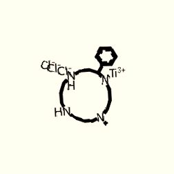 CN1CCCNCCCNCCC(c2ccccc2)[N]([Ti+3])CCC1.[Cl-].[Cl-].[Cl-]